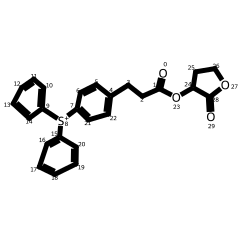 O=C(CCc1ccc([S+](c2ccccc2)c2ccccc2)cc1)OC1CCOC1=O